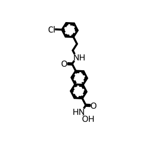 O=C(NO)c1ccc2cc(C(=O)NCCc3cccc(Cl)c3)ccc2c1